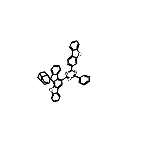 c1ccc(-c2nc(-c3ccc4c(c3)oc3ccccc34)nc(-c3cc4c(oc5ccccc54)c4c3-c3ccccc3C43C4CC5CC(C4)CC3C5)n2)cc1